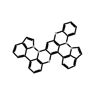 c1ccc2c(c1)Sc1cc3c(c4c1B2n1ccc2cccc-4c21)Sc1cccc2c1B3n1ccc3cccc-2c31